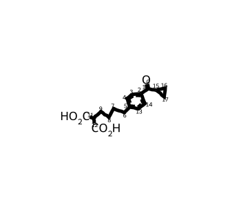 O=C(c1ccc(CCCCC(C(=O)O)C(=O)O)cc1)C1CC1